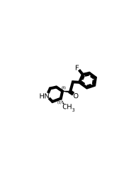 C[C@@H]1CNCC[C@H]1C(=O)Cc1ccccc1F